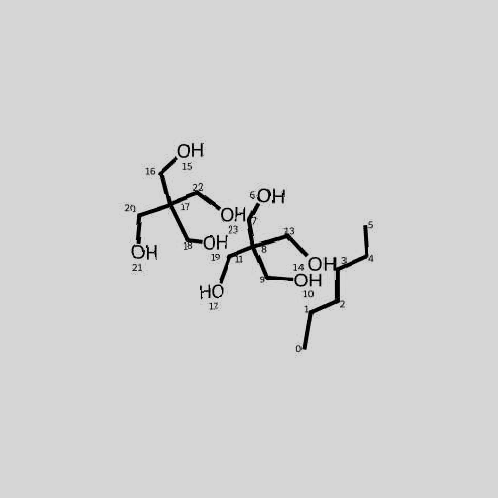 CCCCCC.OCC(CO)(CO)CO.OCC(CO)(CO)CO